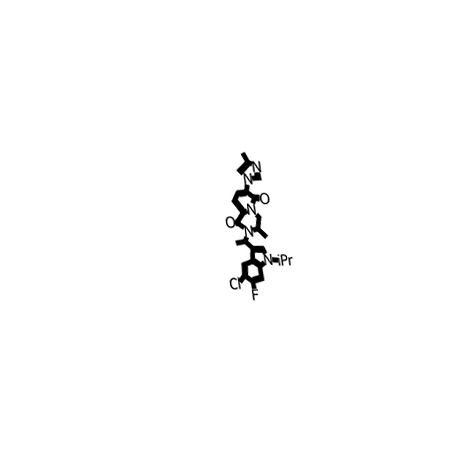 Cc1cn(-c2ccc3n(c2=O)CC(C)N(C(C)c2cn(C(C)C)c4cc(F)c(Cl)cc24)C3=O)cn1